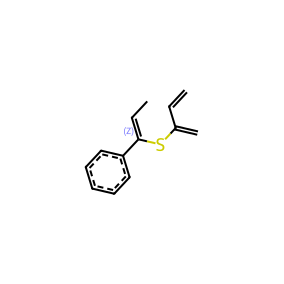 C=CC(=C)S/C(=C\C)c1ccccc1